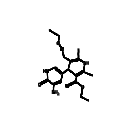 CCOOCC1=C(C)NC(C)=C(C(=O)OCC)C1c1c[nH]c(=O)c(N)c1